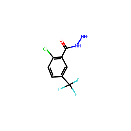 [NH]NC(=O)c1cc(C(F)(F)F)ccc1Cl